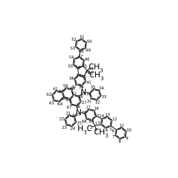 CC1(C)c2cc(-c3ccccc3)ccc2-c2ccc(N(c3ccccc3)c3cc(N(c4ccccc4)c4ccc5c(c4)C(C)(C)c4cc(-c6ccccc6)ccc4-5)c4ccc5ccccc5c4c3)cc21